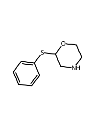 c1ccc(SC2CNCCO2)cc1